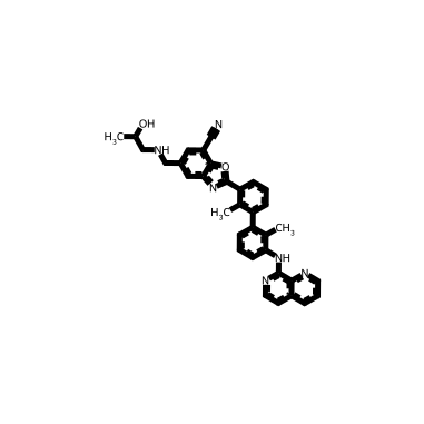 Cc1c(Nc2nccc3cccnc23)cccc1-c1cccc(-c2nc3cc(CNCC(C)O)cc(C#N)c3o2)c1C